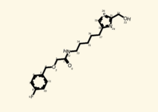 O=C(COCc1ccc(F)cc1)NCCCCCc1csc(CO)n1